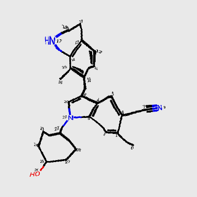 Cc1cc2c(cc1C#N)c(-c1ccc3c(c1C)NCC3)cn2C1CCC(O)CC1